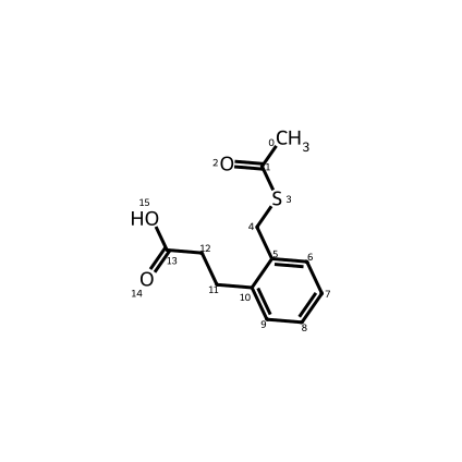 CC(=O)SCc1ccccc1CCC(=O)O